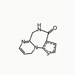 O=C1NCC2=NC=CCN2c2sccc21